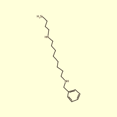 [SiH3]CCCNCCCCCCCCNCc1ccccc1